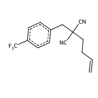 C=CCCC(C#N)(C#N)Cc1ccc(C(F)(F)F)cc1